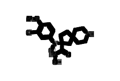 COc1ccc([S+]([O-])[C@@]2(C(=O)NO)CCC3(CCNCC3)C2)cc1Cl